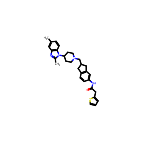 Cc1ccc2c(c1)nc(C)n2C1CCN(CC2Cc3ccc(NC(=O)Cc4cccs4)cc3C2)CC1